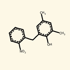 Cc1cc(C)c(O)c(Cc2ccccc2[N+](=O)[O-])c1